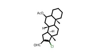 CC(=O)OC1C[C@@H]2C(CC[C@]3(C)C(Cl)=C(C=O)C[C@@H]23)[C@@]2(C)CCCCC12